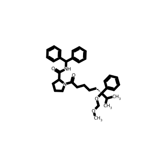 COCO[C@@](CCCCC(=O)N1CCCC1C(=O)NC(c1ccccc1)c1ccccc1)(c1ccccc1)C(C)C